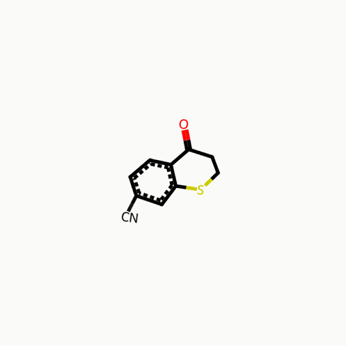 N#Cc1ccc2c(c1)SCCC2=O